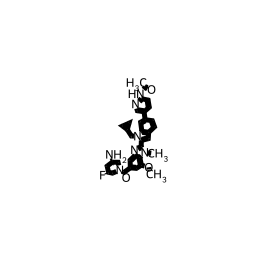 COc1cc(C(=O)N2C[C@H](N)C[C@@H](F)C2)cc2nc(-c3cc4ccc(-c5ccc(NC(C)=O)nc5)cc4n3CC3CC3)n(C)c12